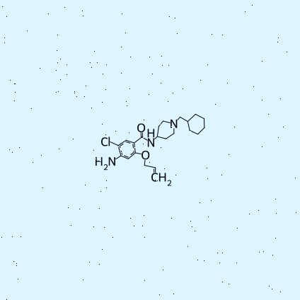 C=CCOc1cc(N)c(Cl)cc1C(=O)NC1CCN(CC2CCCCC2)CC1